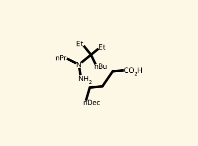 CCCCC(CC)(CC)N(N)CCC.CCCCCCCCCCCCCC(=O)O